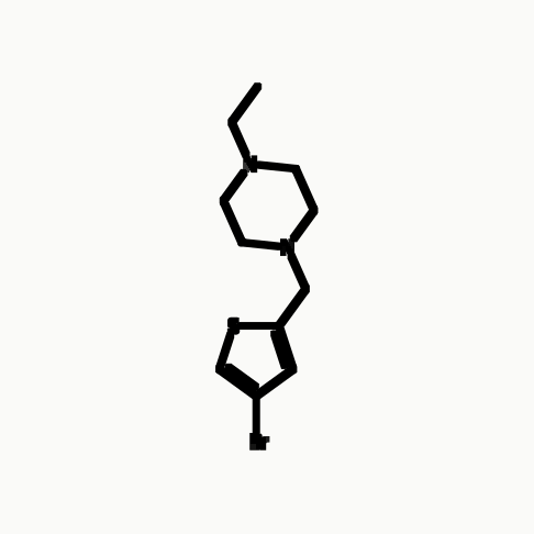 CCN1CCN(Cc2cc(Br)cs2)CC1